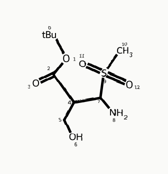 CC(C)(C)OC(=O)C(CO)C(N)S(C)(=O)=O